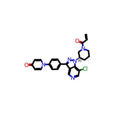 C=CC(=O)N1CCC[C@@H](n2nc(-c3ccc(-n4ccc(=O)cc4)cc3)c3cncc(Cl)c32)C1